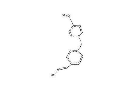 COc1ccc(Cc2[c]cc(C=NO)cc2)cc1